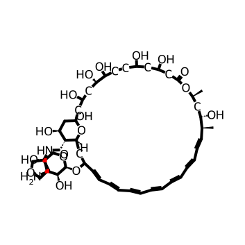 C[C@H]1C[C@H](O)[C@@H](C)/C=C/C=C/C=C/C=C/C=C/C=C/C=C/C(O[C@@H]2OC[C@@H](O)[C@H](N)[C@@H]2O)C[C@@H]2OC(O)(CC(O)C[C@@H](O)C(O)CCC(O)CC(O)CC(=O)O1)C[C@H](O)[C@H]2C(=O)NC1CCOC1